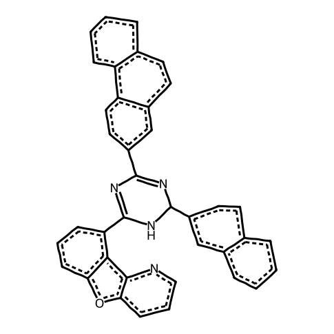 c1ccc2cc(C3N=C(c4ccc5c(ccc6ccccc65)c4)N=C(c4cccc5oc6cccnc6c45)N3)ccc2c1